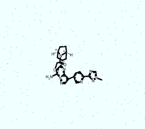 Cn1cnc(-c2ccc(-c3cnn4c(N)cc([C@@H]5C[C@H]6CC[C@@H](C5)N6C(=O)CO)nc34)cn2)n1